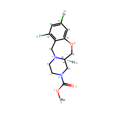 CC(C)(C)OC(=O)N1CCN2Cc3c(F)cc(Br)cc3OC[C@H]2C1